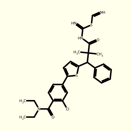 CCN(CC)C(=O)c1ccc(-c2ccc(C(c3ccccc3)C(C)(C)C(=O)NC(=N)SC=N)s2)cc1Cl